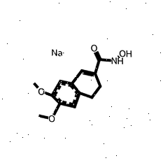 COc1cc2c(cc1OC)CCC(C(=O)NO)=C2.[Na]